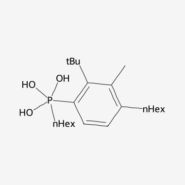 CCCCCCc1ccc(P(O)(O)(O)CCCCCC)c(C(C)(C)C)c1C